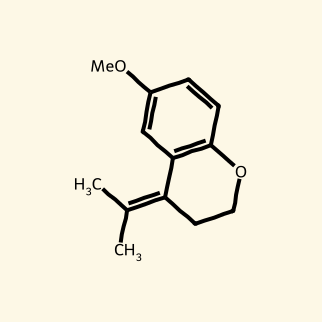 COc1ccc2c(c1)C(=C(C)C)CCO2